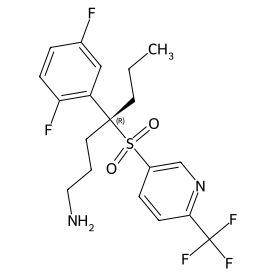 CCC[C@@](CCCN)(c1cc(F)ccc1F)S(=O)(=O)c1ccc(C(F)(F)F)nc1